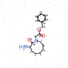 NC1CCCCCCN(CC(=O)OCc2ccccc2)C1=O